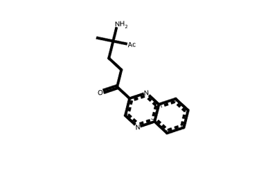 CC(=O)C(C)(N)CCC(=O)c1cnc2ccccc2n1